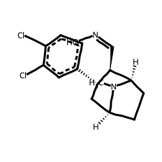 CN1[C@H]2CC[C@@H]1[C@H](/C=N\O)[C@@H](c1ccc(Cl)c(Cl)c1)C2